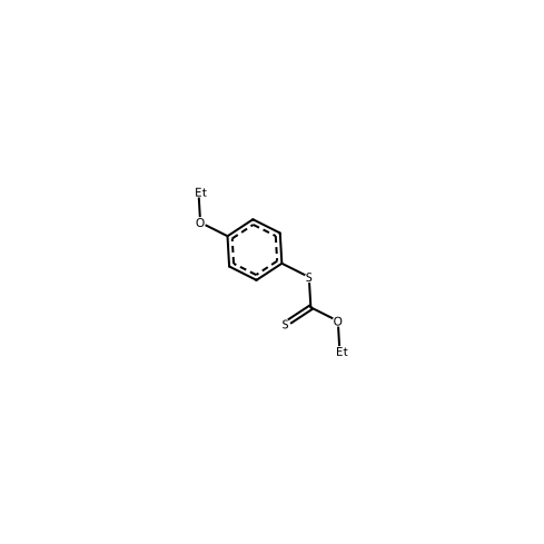 CCOC(=S)Sc1ccc(OCC)cc1